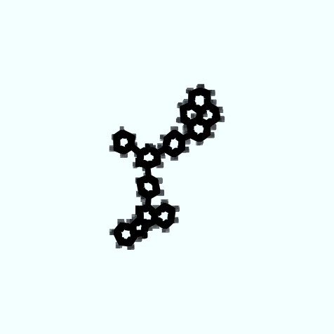 c1ccc(-c2nc(-c3ccc(-c4nc5c6ccccc6sc5c5ccccc45)cc3)cc(-c3ccc(-c4ccc5ccc6cccc7ccc4c5c67)cc3)n2)cc1